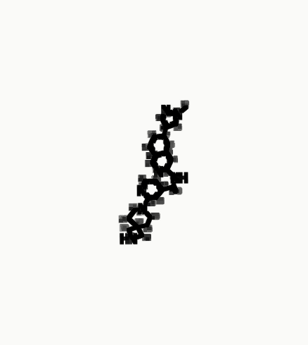 C=C(Nc1cc2cc(-c3cnn(C)c3)ccc2cn1)c1ccnc(N2CCC3(CC2)CNC3)c1